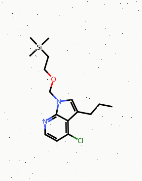 CCCc1cn(COCC[Si](C)(C)C)c2nccc(Cl)c12